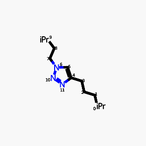 CC(C)CCCc1cn(CCC(C)C)nn1